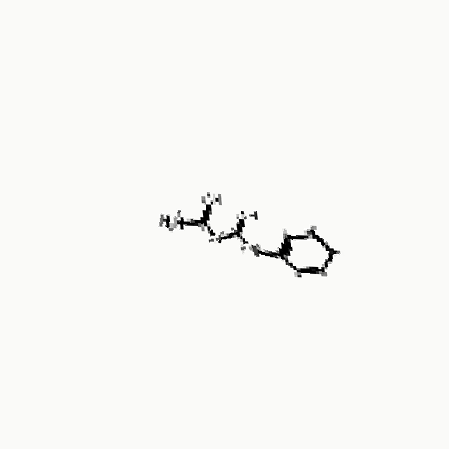 N=C(N)NC(=N)NC1=CCCC=C1